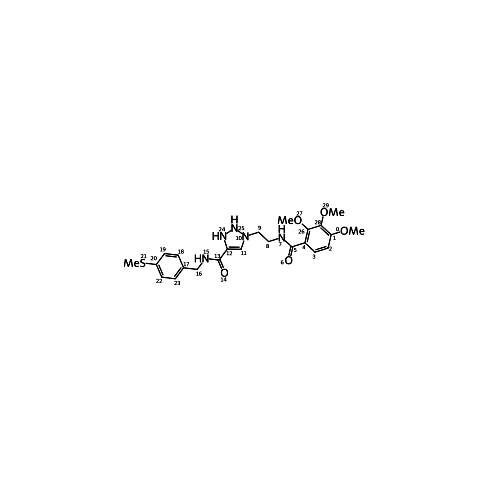 COc1ccc(C(=O)NCCN2C=C(C(=O)NCc3ccc(SC)cc3)NN2)c(OC)c1OC